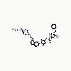 CC(C)(C)OC(=O)N1CCN(CCCn2ccc3ccc(-c4nc(CC(=O)NCC(=O)OCc5ccccc5)cs4)cc32)CC1